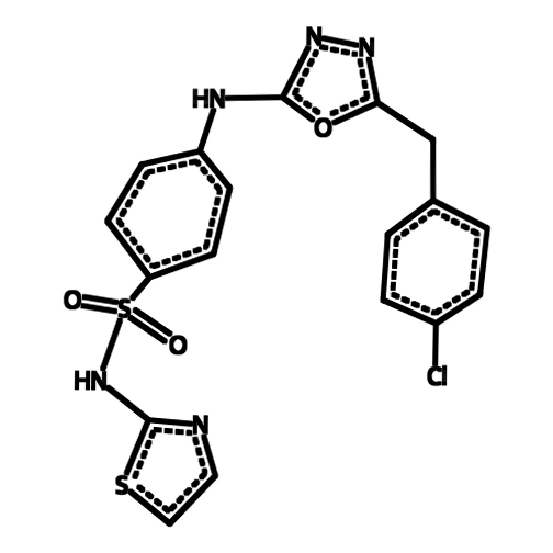 O=S(=O)(Nc1nccs1)c1ccc(Nc2nnc(Cc3ccc(Cl)cc3)o2)cc1